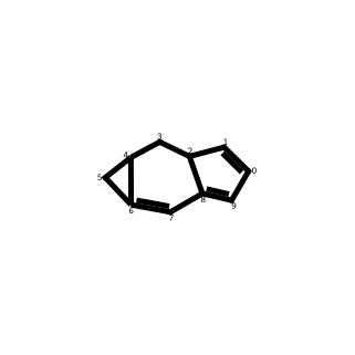 C1=CC2CC3CC3=CC2=C1